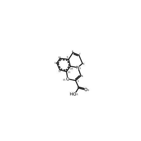 O=C(O)C1=CN2CC=Cc3cccc(c32)O1